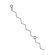 CCCCOCCCCCCCCC=O